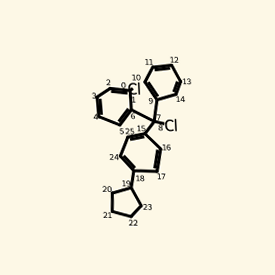 Clc1ccccc1C(Cl)(c1ccccc1)c1ccc(C2CCCC2)cc1